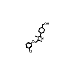 Cn1c(COc2cccc(Cl)c2)nnc1C1CCC(CO)CC1